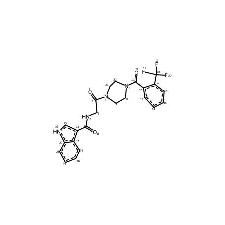 O=C(NCC(=O)N1CCN(C(=O)c2ccccc2C(F)(F)F)CC1)c1c[nH]c2ccccc12